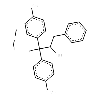 COc1ccc(C(N)(c2ccc(OC)cc2)C(N)Cc2ccccc2)cc1.[Cl][Pt][Cl]